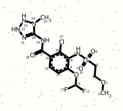 COCCS(=O)(=O)Nc1c(OC(F)F)ccc(C(=O)NC2=NNNN2C)c1Cl